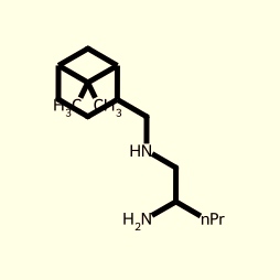 CCCC(N)CNCC1CCC2CC1C2(C)C